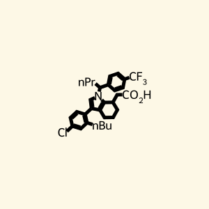 CCCCc1cc(Cl)ccc1-c1cn(C(CCC)c2ccc(C(F)(F)F)cc2)c2c1CCCC2CC(=O)O